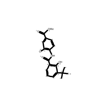 COC(=O)c1ccc(NC(=O)c2cccc(C(C)(C)I)c2O)c(Cl)c1